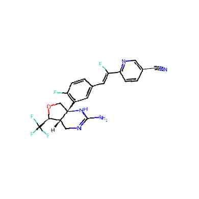 N#Cc1ccc(/C(F)=C/c2ccc(F)c([C@]34CO[C@H](C(F)(F)F)[C@H]3CN=C(N)N4)c2)nc1